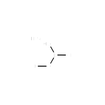 OB(O)OF.[SrH2]